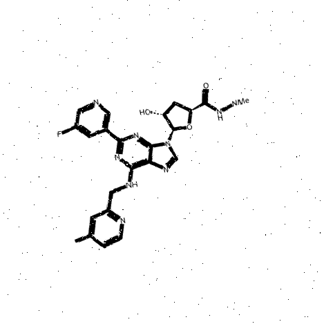 CNNC(=O)[C@@H]1C[C@@H](O)[C@H](n2cnc3c(NCc4cc(C)ccn4)nc(-c4cncc(F)c4)nc32)O1